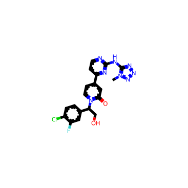 Cn1nnnc1Nc1nccc(-c2ccn(C(CO)c3ccc(Cl)c(F)c3)c(=O)c2)n1